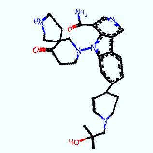 CC(C)(O)CN1CCC(c2ccc3c4cncc(C(N)=O)c4n(N4CCC(=O)C5(CCNC5)C4)c3c2)CC1